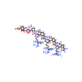 COc1ccc(NC(=O)[C@H](CCCCNC(=N)N)NC(=O)c2cc(NC(=O)[C@H](CCCCNC(=N)N)NC(=O)c3cc(NC(=O)[C@H](CCCNC(=N)N)NC(=O)c4cc(NC(C)=O)ccc4OC)ccc3OC)ccc2OC)cc1C(=O)N[C@@H](Cc1ccc(O)cc1)C(=O)O